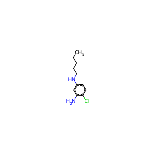 CCCCCNc1ccc(Cl)c(N)c1